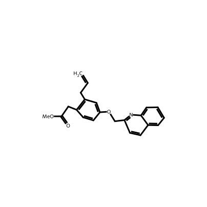 C=CCc1cc(OCc2ccc3ccccc3n2)ccc1CC(=O)OC